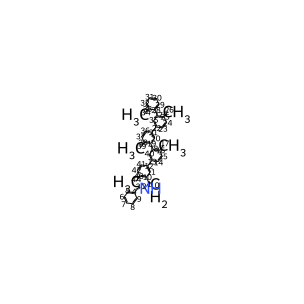 C=C(NCc1ccccc1)c1cc(-c2ccc(C)c(-c3cc(-c4ccc(C)c(-c5ccccc5C)c4)ccc3C)c2)ccc1C